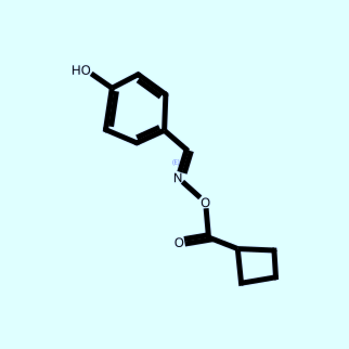 O=C(O/N=C/c1ccc(O)cc1)C1CCC1